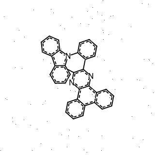 Cc1nc2c3ccccc3c3ccccc3c2nc1-c1ccccc1-n1c2ccccc2c2ccccc21